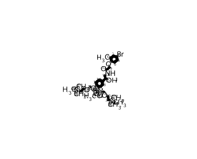 Cc1cc(Br)ccc1OCC(=O)NC[C@H](O)c1ccc(OCOCC[Si](C)(C)C)c(N(COCC[Si](C)(C)C)S(C)(=O)=O)c1